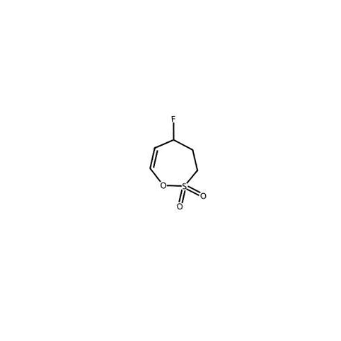 O=S1(=O)CCC(F)C=CO1